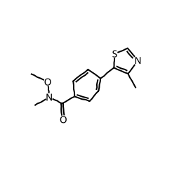 CON(C)C(=O)c1ccc(-c2scnc2C)cc1